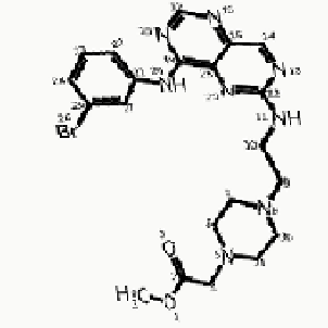 COC(=O)CN1CCN(CCNc2ncc3ncnc(Nc4cccc(Br)c4)c3n2)CC1